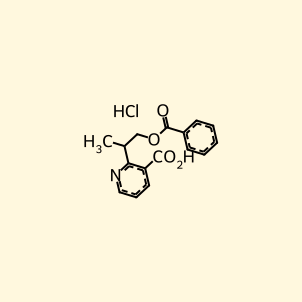 CC(COC(=O)c1ccccc1)c1ncccc1C(=O)O.Cl